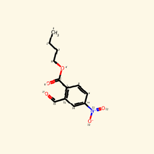 CCCCOC(=O)c1ccc([N+](=O)[O-])cc1C=O